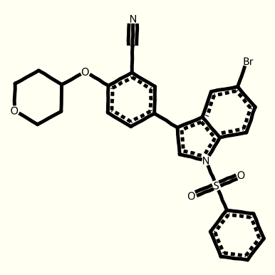 N#Cc1cc(-c2cn(S(=O)(=O)c3ccccc3)c3ccc(Br)cc23)ccc1OC1CCOCC1